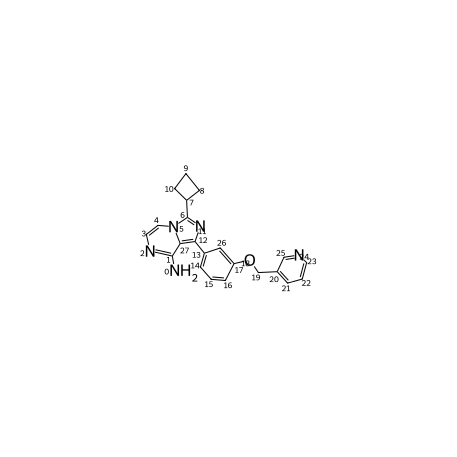 Nc1nccn2c(C3CCC3)nc(-c3cccc(OCc4cccnc4)c3)c12